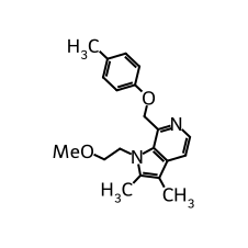 COCCn1c(C)c(C)c2ccnc(COc3ccc(C)cc3)c21